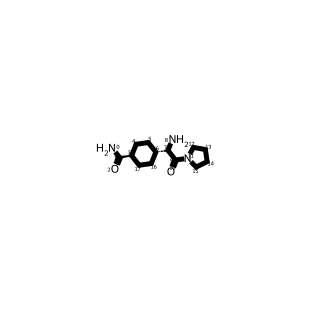 NC(=O)[C@H]1CC[C@H](C(N)C(=O)N2CCCC2)CC1